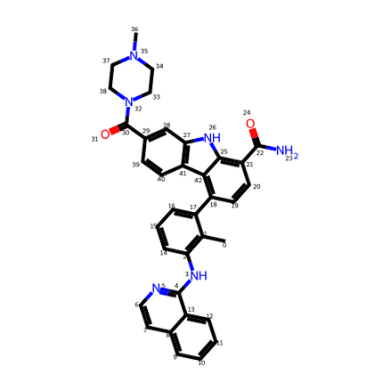 Cc1c(Nc2nccc3ccccc23)cccc1-c1ccc(C(N)=O)c2[nH]c3cc(C(=O)N4CCN(C)CC4)ccc3c12